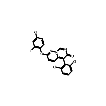 O=c1ncn2nc(Oc3ccc(Cl)cc3F)ccc2c1-c1c(Cl)cccc1Cl